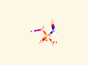 O=N[P@@](=O)(O)OI